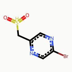 O=[SH](=O)Cc1cnc(Br)cn1